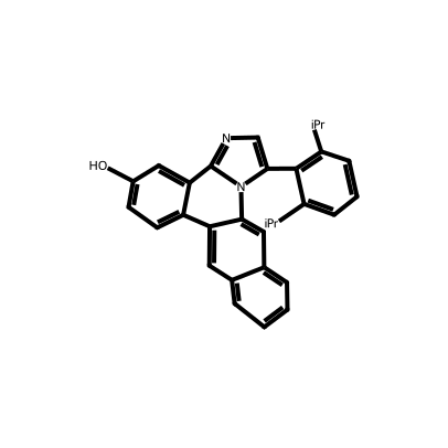 CC(C)c1cccc(C(C)C)c1-c1cnc2c3cc(O)ccc3c3cc4ccccc4cc3n12